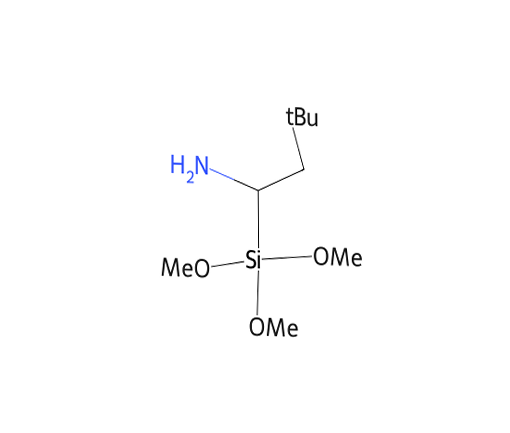 CO[Si](OC)(OC)C(N)CC(C)(C)C